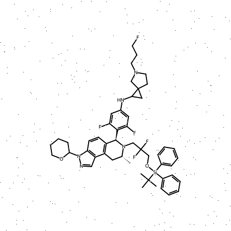 C[C@@H]1Cc2c(ccc3c2cnn3C2CCCCO2)[C@@H](c2c(F)cc(NC3CC34CCN(CCCF)C4)cc2F)N1CC(F)(F)CO[Si](c1ccccc1)(c1ccccc1)C(C)(C)C